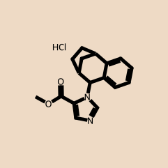 COC(=O)c1cncn1C1c2ccccc2C2CCC1C2.Cl